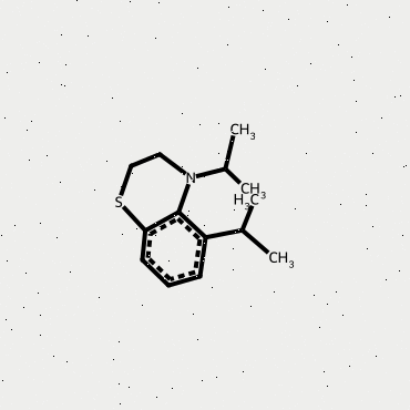 CC(C)c1cccc2c1N(C(C)C)CCS2